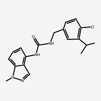 CC(C)c1cc(CNC(=O)Nc2cccc3c2cnn3C)ccc1Cl